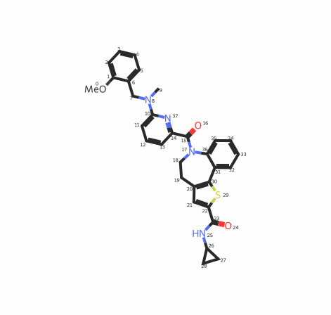 COc1ccccc1CN(C)c1cccc(C(=O)N2CCc3cc(C(=O)NC4CC4)sc3-c3ccccc32)n1